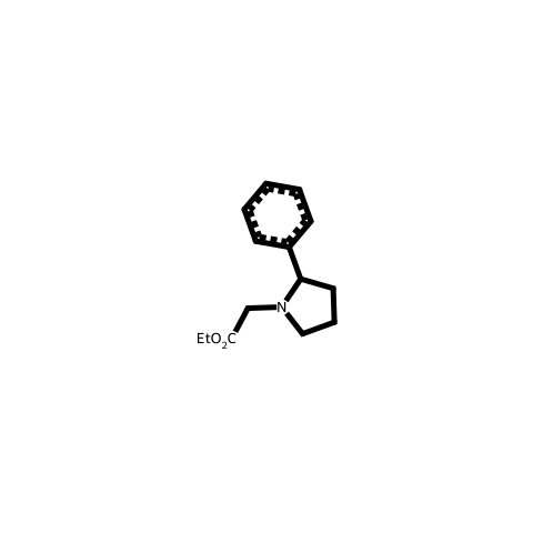 CCOC(=O)CN1CCCC1c1ccccc1